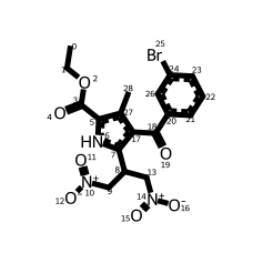 CCOC(=O)c1[nH]c(C(C[N+](=O)[O-])C[N+](=O)[O-])c(C(=O)c2cccc(Br)c2)c1C